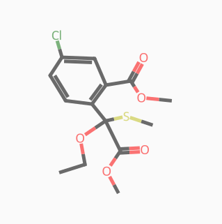 CCOC(SC)(C(=O)OC)c1ccc(Cl)cc1C(=O)OC